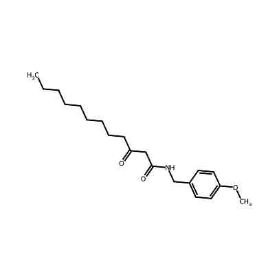 CCCCCCCCCC(=O)CC(=O)NCc1ccc(OC)cc1